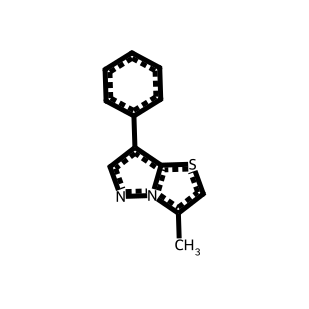 Cc1csc2c(-c3ccccc3)cnn12